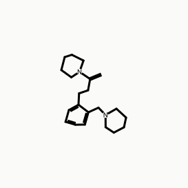 C=C(CCc1ccccc1CN1CCCCC1)N1CCCCC1